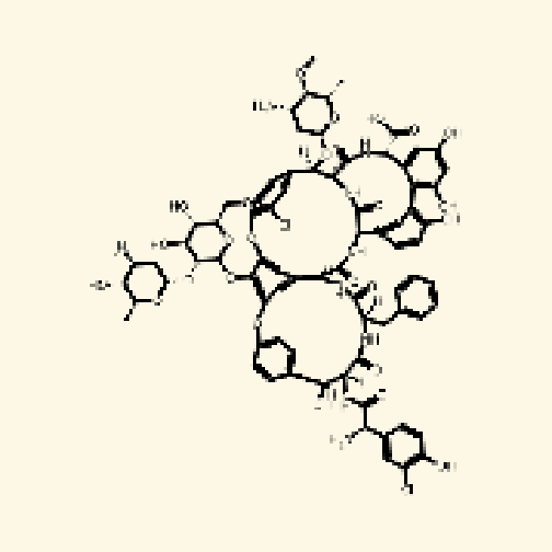 CO[C@H]1[C@H](C)O[C@@H](O[C@@H]2c3ccc(c(Cl)c3)Oc3cc4cc(c3O[C@@H]3O[C@H](CO)[C@@H](O)[C@H](O)[C@H]3O[C@H]3C[C@H](N)[C@@H](O)[C@H](C)O3)Oc3ccc(cc3)[C@@H](O)[C@@H](NC(=O)[C@H](N)c3ccc(O)c(Cl)c3)C(=O)N[C@@H](Cc3ccccc3)C(=O)N[C@H]4C(=O)N[C@H]3C(=O)N[C@@H]2C(=O)N[C@H](C(=O)O)c2cc(O)cc(O)c2-c2cc3ccc2O)C[C@@H]1N